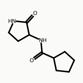 O=C(NC1CCNC1=O)C1CCCC1